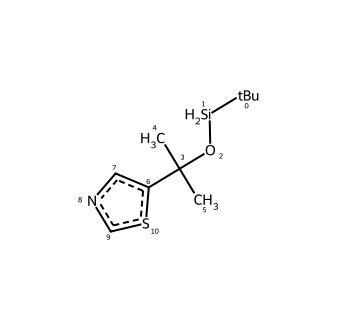 CC(C)(C)[SiH2]OC(C)(C)c1cncs1